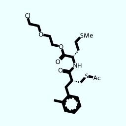 CSCC[C@H](NC(=O)[C@H](CSC(C)=O)Cc1ccccc1C)C(=O)OCCOCCCl